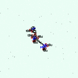 CC(C)(C)OC(=O)/N=C(\NCCCCCCCCCN(C(=O)OC(C)(C)C)/C(=N\C(=O)OC(C)(C)C)N(CCOc1ccc(C2=NCCCN2C(=O)OC(C)(C)C)cc1)C(=O)OC(C)(C)C)NC(=O)OC(C)(C)C